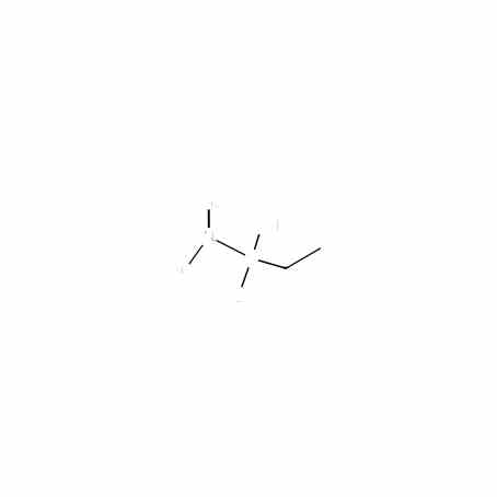 CCCCN(CCCC)S(C)(CC)CCl